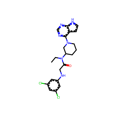 CCN(C(=O)CNc1cc(Cl)cc(Cl)c1)C1CCCN(c2ncnc3[nH]ccc23)C1